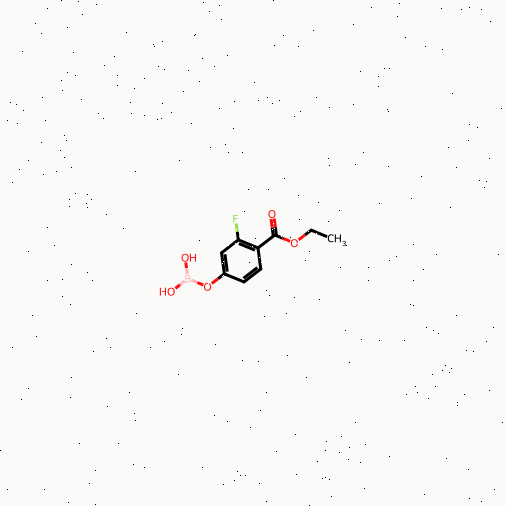 CCOC(=O)c1ccc(OB(O)O)cc1F